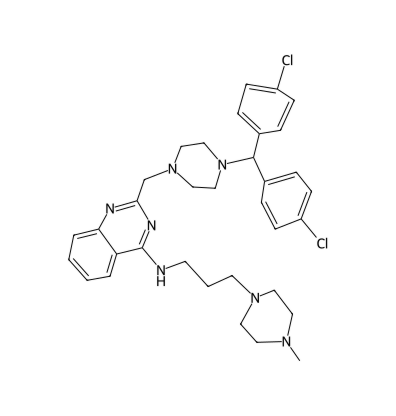 CN1CCN(CCCNc2nc(CN3CCN(C(c4ccc(Cl)cc4)c4ccc(Cl)cc4)CC3)nc3ccccc23)CC1